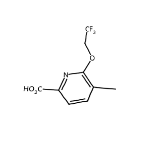 Cc1ccc(C(=O)O)nc1OCC(F)(F)F